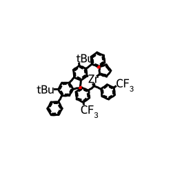 CC(C)(C)c1cc2c(cc1-c1ccccc1)Cc1c-2cc(C(C)(C)C)c(-c2ccccc2)[c]1[Zr]([C]1=CC=CC1)=[C](c1cccc(C(F)(F)F)c1)c1cccc(C(F)(F)F)c1